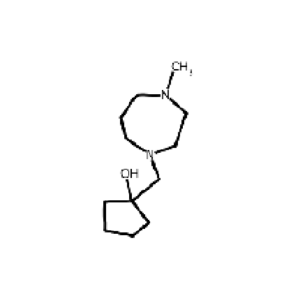 CN1CCCN(CC2(O)CCCC2)CC1